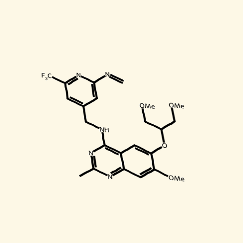 C=Nc1cc(CNc2nc(C)nc3cc(OC)c(OC(COC)COC)cc23)cc(C(F)(F)F)n1